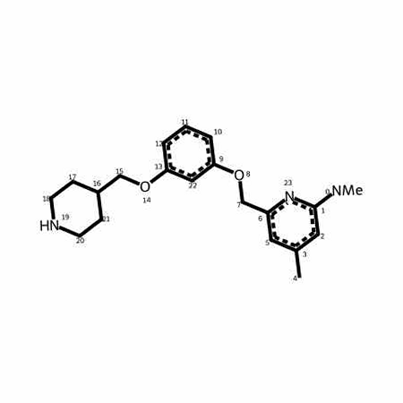 CNc1cc(C)cc(COc2cccc(OCC3CCNCC3)c2)n1